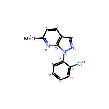 COc1ccc2cnn(-c3ccccc3Cl)c2n1